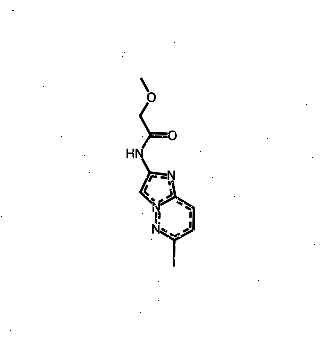 COCC(=O)Nc1cn2nc(I)ccc2n1